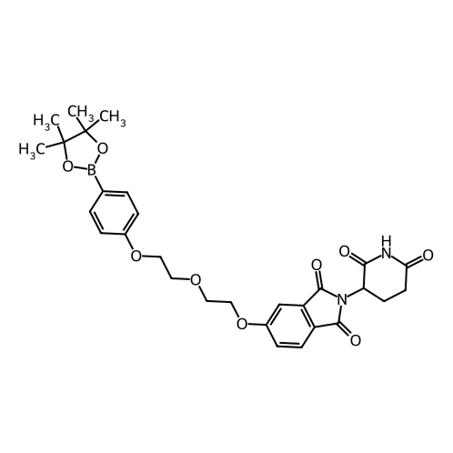 CC1(C)OB(c2ccc(OCCOCCOc3ccc4c(c3)C(=O)N(C3CCC(=O)NC3=O)C4=O)cc2)OC1(C)C